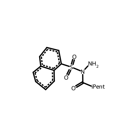 CCCC(C)C(=O)N(N)S(=O)(=O)c1cccc2ccccc12